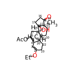 CCOC1=CC2=C(OC(C)=O)C[C@@H]3[C@H](CC[C@]4(C)C(=O)CC[C@@]34O)[C@@]2(C)CC1